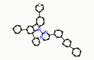 c1ccc(-c2ccc(-c3cccc(-c4ccnc(-n5c6ccc(-c7ccccc7)cc6c6cc(-c7ccccc7)cc(-c7ccccc7)c65)n4)c3)cc2)cc1